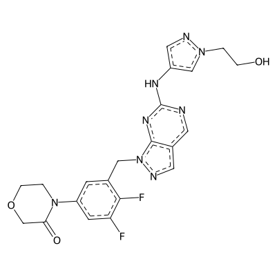 O=C1COCCN1c1cc(F)c(F)c(Cn2ncc3cnc(Nc4cnn(CCO)c4)nc32)c1